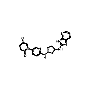 O=c1ccc(Cl)cn1-c1ccc(N[C@H]2CC[C@H](Nc3nc4cccnc4[nH]3)C2)nc1